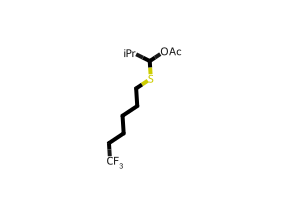 CC(=O)OC(SCCCCCC(F)(F)F)C(C)C